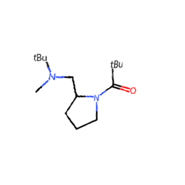 CN(CC1CCCN1C(=O)C(C)(C)C)C(C)(C)C